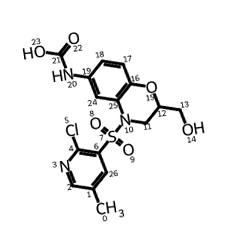 Cc1cnc(Cl)c(S(=O)(=O)N2CC(CO)Oc3ccc(NC(=O)O)cc32)c1